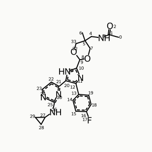 CC(=O)NCC1(C)COC(c2nc(-c3ccc(F)cc3)c(-c3ccnc(NC4CC4)n3)[nH]2)OC1